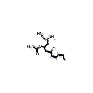 C\C=C/C=C\C(Cl)=C\C(CN(N)N=N)OC(N)=O